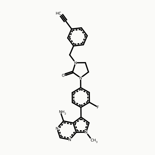 C#Cc1cccc(CN2CCN(c3ccc(-c4cn(C)c5ncnc(N)c45)c(F)c3)C2=O)c1